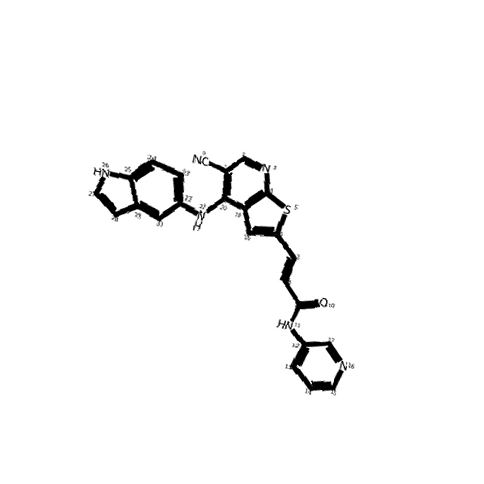 N#Cc1cnc2sc(C=CC(=O)Nc3cccnc3)cc2c1Nc1ccc2[nH]ccc2c1